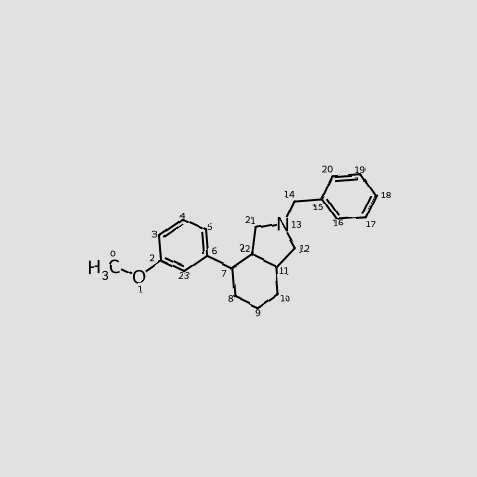 COc1cccc(C2CCCC3CN(Cc4ccccc4)CC32)c1